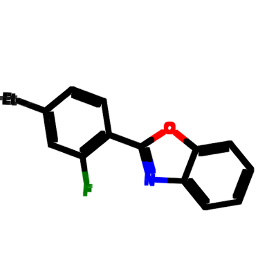 C[CH]c1ccc(-c2nc3ccccc3o2)c(F)c1